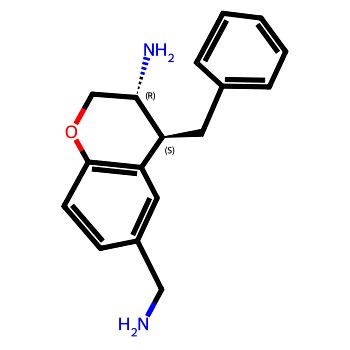 NCc1ccc2c(c1)[C@H](Cc1ccccc1)[C@@H](N)CO2